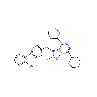 Cc1nc2c(C3CCCCC3)nnc(C3CCCCC3)c2n1Cc1ccc(-c2ccccc2C(=O)O)cc1